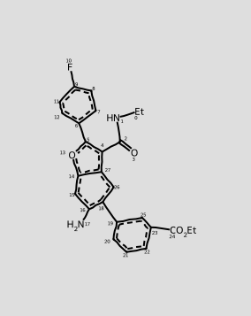 CCNC(=O)c1c(-c2ccc(F)cc2)oc2cc(N)c(-c3cccc(C(=O)OCC)c3)cc12